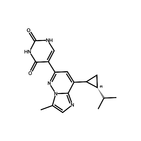 Cc1cnc2c(C3C[C@@H]3C(C)C)cc(-c3c[nH]c(=O)[nH]c3=O)nn12